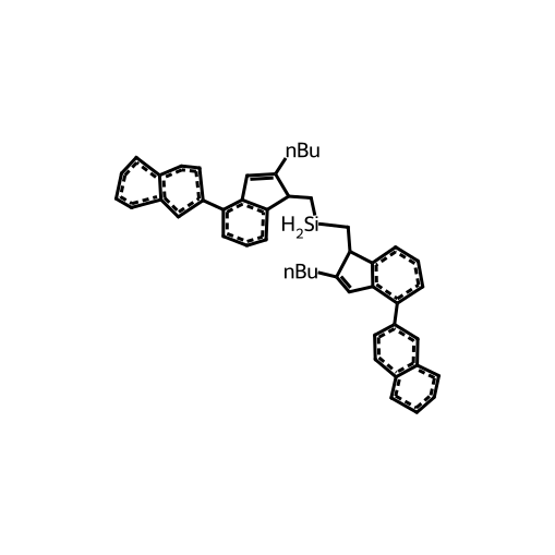 CCCCC1=Cc2c(-c3ccc4ccccc4c3)cccc2C1C[SiH2]CC1C(CCCC)=Cc2c(-c3ccc4ccccc4c3)cccc21